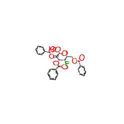 O=C(OCC1OC(O)[C@@H](OC(=O)c2ccccc2)C(OC(=O)c2ccccc2)C1F)c1ccccc1